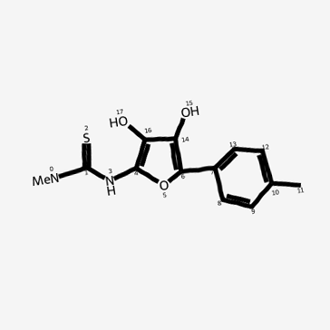 CNC(=S)Nc1oc(-c2ccc(C)cc2)c(O)c1O